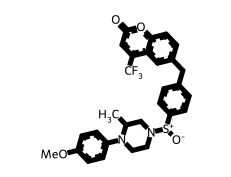 COc1ccc(N2CCN([S+]([O-])c3ccc(Cc4ccc5oc(=O)cc(C(F)(F)F)c5c4)cc3)CC2C)cc1